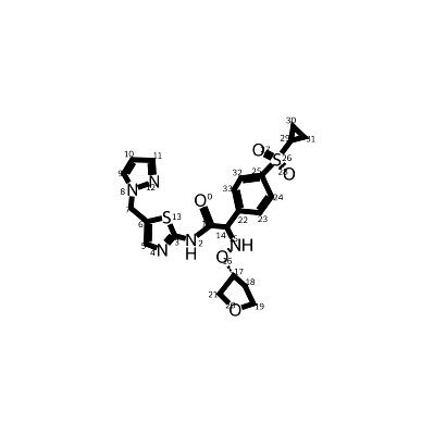 O=C(Nc1ncc(Cn2cccn2)s1)C(NO[C@@H]1CCOC1)c1ccc(S(=O)(=O)C2CC2)cc1